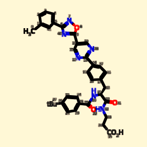 Cc1cccc(-c2noc(-c3cnc(-c4ccc(C[C@H](NC(=O)c5ccc(C(C)(C)C)cc5)C(=O)NCCC(=O)O)cc4)nc3)n2)c1